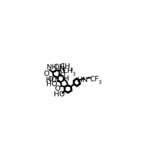 CN(C)C1C(O)=C(C(N)=O)C(=O)[C@@]2(O)C(O)=C3C(=O)c4c(O)ccc(-c5ccc(CNCC(F)(F)F)cc5)c4C[C@H]3C[C@@H]12